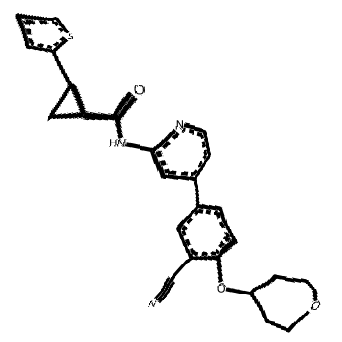 N#Cc1cc(-c2ccnc(NC(=O)C3CC3c3cccs3)c2)ccc1OC1CCOCC1